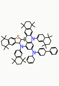 CC1(C)CCC(C)(C)C2CC=C(N3c4cc5c(cc4B4c6c3cc(N(C3=CCC(c7ccccc7)C=C3)C3C=CC=CC3)cc6N(c3ccc6c(c3)C(C)(C)CCC6(C)C)C3c6cc7c(cc6SC43)C(C)(C)CCC7(C)C)C(C)(C)CCC5(C)C)C=C21